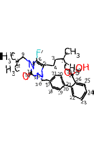 CC(C)CCc1c(F)n(CC(C)C)c(=O)n1Cc1ccc(-c2ccccc2C(=O)O)cc1